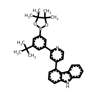 CC(C)(C)c1cc(B2OC(C)(C)C(C)(C)O2)cc(-c2cc(-c3cccc4[nH]c5ccccc5c34)ccn2)c1